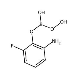 Nc1cccc(F)c1OB(O)OO